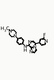 CN1CCN(c2ccc(Nc3ncc(-c4ccnc(F)c4)n4ccnc34)cc2)CC1